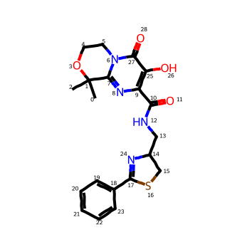 CC1(C)OCCn2c1nc(C(=O)NCC1CSC(c3ccccc3)=N1)c(O)c2=O